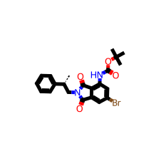 C[C@H](CN1C(=O)c2cc(Br)cc(NC(=O)OC(C)(C)C)c2C1=O)c1ccccc1